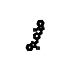 CCN1/C(=C/C2=CC(=C/c3sc4ccccc4[n+]3CC)/CCC2)Sc2ccccc21